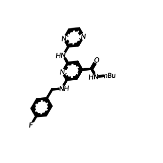 CCCCNC(=O)c1cc(NCc2ccc(F)cc2)nc(Nc2cnccn2)c1